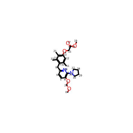 COCOc1ccc(Cc2c(C)cc(OCC(=O)OC)c(C)c2C)nc1N1CCCC1